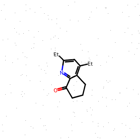 CCc1cc(CC)c2c(n1)C(=O)CCC2